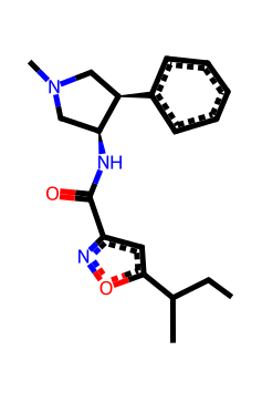 CCC(C)c1cc(C(=O)N[C@H]2CN(C)C[C@H]2c2ccccc2)no1